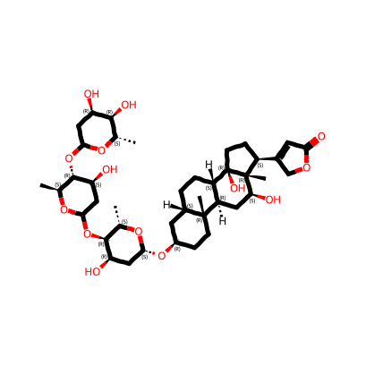 C[C@@H]1OC(O[C@H]2[C@H](C)OC(O[C@@H]3[C@H](O)C[C@@H](O[C@@H]4CC[C@]5(C)[C@@H](CC[C@H]6[C@H]5C[C@H](O)[C@@]5(C)[C@H](C7=CC(=O)OC7)CC[C@@]65O)C4)O[C@H]3C)C[C@@H]2O)C[C@@H](O)[C@H]1O